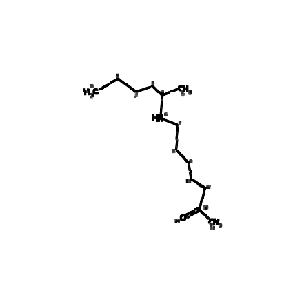 CCCCC(C)NCCCCCC(C)=O